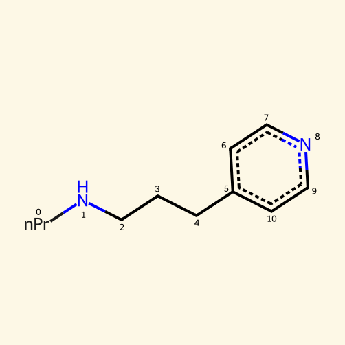 CCCNCCCc1ccncc1